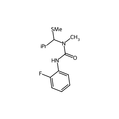 CSC(C(C)C)N(C)C(=O)Nc1ccccc1F